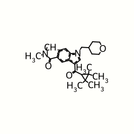 CN(C)C(=O)c1ccc2c(c1)c(C(=O)C1C(C)(C)C1(C)C)cn2CC1CCOCC1